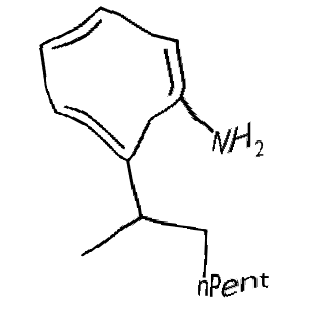 CCCCCCC(C)c1ccccc1N